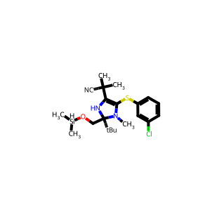 CN1C(Sc2cccc(Cl)c2)=C(C(C)(C)C#N)NC1(CO[SiH](C)C)C(C)(C)C